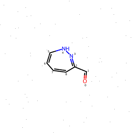 O=CC1=NNC=CC=C1